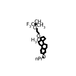 CCCOc1ccc2c(c1)CCC1C2CCC2(C)C(OCCCOC(C)(C)C(F)(F)F)CCC12